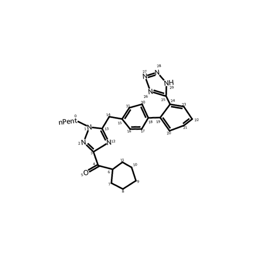 CCCCCn1nc(C(=O)C2CCCCC2)nc1Cc1ccc(-c2ccccc2-c2nnn[nH]2)cc1